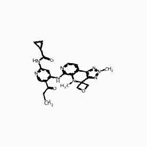 CCC(=O)c1cnc(NC(=O)C2CC2)cc1Nc1nccc2c1N(C)C1(COC1)c1nn(C)nc1-2